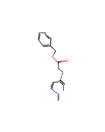 C=N/C=C\C(=C/C)CCC(=O)OCc1ccccc1